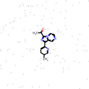 CC(=O)c1nc(C2=CCC(C)C=N2)c2cnccn12